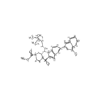 CC(C)(C)OC(=O)N1CCN(C(=O)c2nc3cc(-c4cc(Cl)c5cnccc5n4)ccc3n2COCC[Si](C)(C)C)CC1